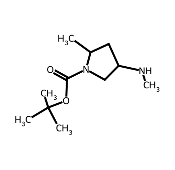 CNC1CC(C)N(C(=O)OC(C)(C)C)C1